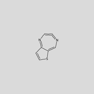 C1=CN=c2ccsc2=CN=1